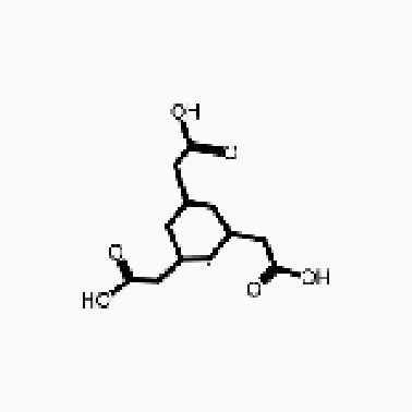 O=C(O)CC1[CH]C(CC(=O)O)CC(CC(=O)O)C1